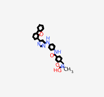 CN(Cc1ccc(C(=O)Nc2ccc(Nc3cc(-c4cccc5c4oc4ccccc45)ncn3)cc2)cc1)C(=O)O